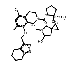 C[C@]1(C(=O)O)CCC[C@H]1C(=O)N1CCc2c(Cl)cc(F)c(OCc3nnn4c3CCCC4)c2[C@H]1CN1CC2(CC2)CC1O